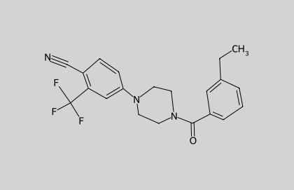 CCc1cccc(C(=O)N2CCN(c3ccc(C#N)c(C(F)(F)F)c3)CC2)c1